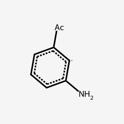 CC(=O)c1[c]c(N)ccc1